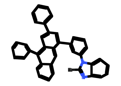 CCc1nc2ccccc2n1-c1cccc(-c2cc(-c3ccccc3)cc3c(-c4ccccc4)c4ccccc4cc23)c1